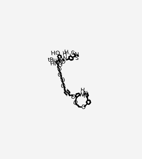 Cc1ncsc1-c1ccc(CNC(=O)[C@@H]2C[C@@H](O)CN2C(=O)[C@@H](NC(=O)COCCOCCOCCOCCN2CCN(CCOc3ccc4cc3COC/C=C/COCc3cccc(c3)-c3ccnc(n3)N4)CC2)C(C)(C)C)cc1